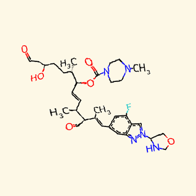 C/C(=C\c1cc(F)c2cn(C3COCN3)nc2c1)[C@@H](C=O)[C@@H](C)/C=C/[C@H](OC(=O)N1CCN(C)CC1)[C@@H](C)CC[C@@H](O)CC=O